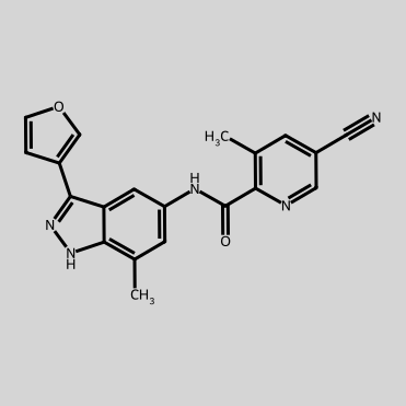 Cc1cc(C#N)cnc1C(=O)Nc1cc(C)c2[nH]nc(-c3ccoc3)c2c1